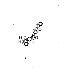 CN(C)[C@]1(c2ccccc2)CC[C@@]2(CC1)CN(c1cnc(NC(=O)c3ccccc3)nc1)C(=O)N2